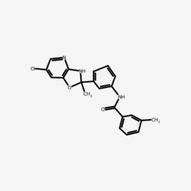 Cc1cccc(C(=O)Nc2cccc(C3(C)Nc4ncc(Cl)cc4O3)c2)c1